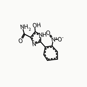 NC(=O)c1nc(-c2ccccc2[N+](=O)[O-])[nH]c1O